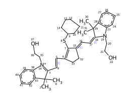 CC1(C)C(/C=C/C2=C(SC3CCCCC3)C(=C/C=C3/N(CCO)c4ccccc4C3(C)C)/CC2)=[N+](CCO)c2ccccc21